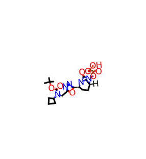 CC(C)(C)OC(=O)N(Cc1nnc([C@@H]2CC[C@@H]3CN2C(=O)N3OS(=O)(=O)O)o1)C1CCC1